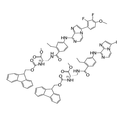 CCc1cc(Nc2nccn3c(-c4ccc(OC)c(F)c4F)cnc23)ccc1C(=O)NC[C@H](NC(=O)OCC1c2ccccc2-c2ccccc21)C(=O)OC.CCc1cc(Nc2nccn3c(I)cnc23)ccc1C(=O)NC[C@H](NC(=O)OCC1c2ccccc2-c2ccccc21)C(=O)OC